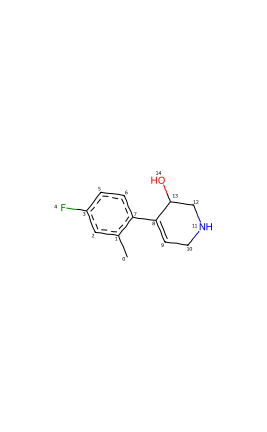 Cc1cc(F)ccc1C1=CCNCC1O